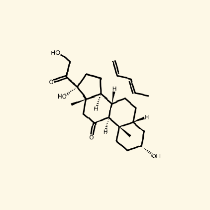 C=C/C=C/C.C[C@]12CC[C@@H](O)C[C@H]1CC[C@@H]1[C@@H]2C(=O)C[C@@]2(C)[C@H]1CC[C@]2(O)C(=O)CO